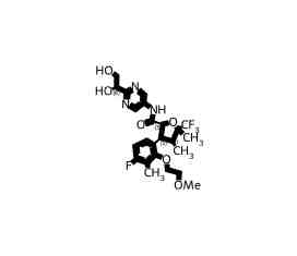 COCCOc1c([C@H]2[C@@H](C(=O)Nc3cnc([C@@H](O)CO)nc3)O[C@@](C)(C(F)(F)F)[C@H]2C)ccc(F)c1C